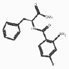 COC(=O)[C@H](Cc1ccccc1)NC(=O)c1ccc(Br)cc1N